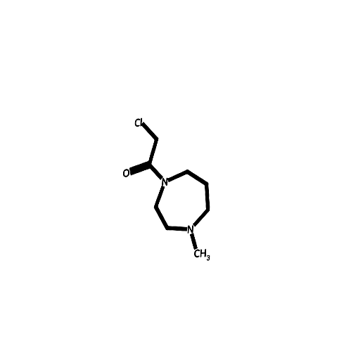 CN1CCCN(C(=O)CCl)CC1